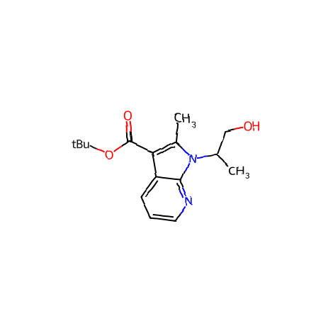 Cc1c(C(=O)OC(C)(C)C)c2cccnc2n1C(C)CO